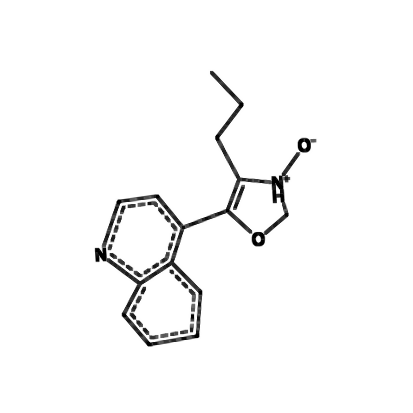 CCCC1=C(c2ccnc3ccccc23)OC[NH+]1[O-]